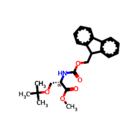 COC(=O)[C@H](COC(C)(C)C)NC(=O)OCC1c2ccccc2-c2ccccc21